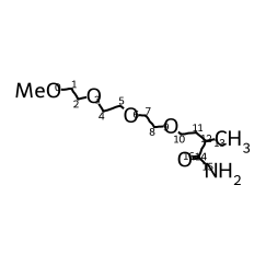 COCCOCCOCCOCCC(C)C(N)=O